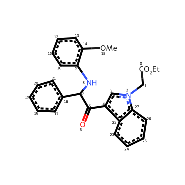 CCOC(=O)Cn1cc(C(=O)C(Nc2ccccc2OC)c2ccccc2)c2ccccc21